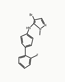 Cn1ncc(Br)c1Nc1ccc(-c2ccccc2F)cc1